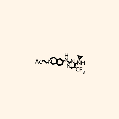 CC(=O)CCN1CCc2cc(Nc3ncc(C(F)(F)F)c(NC4CC4)n3)ccc2C1